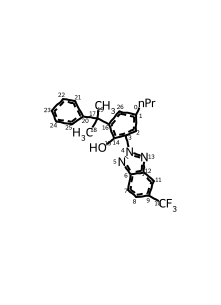 CCCc1cc(-n2nc3ccc(C(F)(F)F)cc3n2)c(O)c(C(C)(C)c2ccccc2)c1